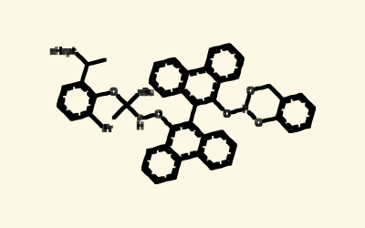 CCCCCCCC(C)c1cccc(C(C)C)c1OC(C)(CCCC)POc1c(-c2c(OP3OCc4ccccc4O3)c3ccccc3c3ccccc23)c2ccccc2c2ccccc12